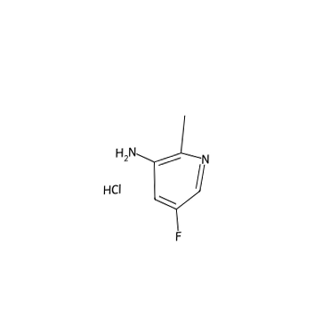 Cc1ncc(F)cc1N.Cl